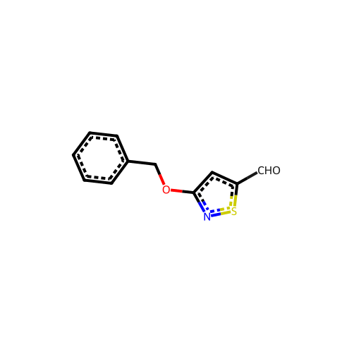 O=Cc1cc(OCc2ccccc2)ns1